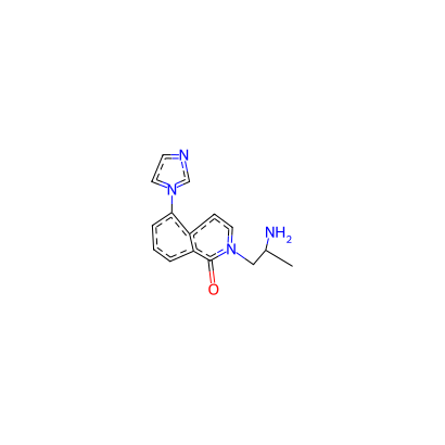 CC(N)Cn1ccc2c(-n3ccnc3)cccc2c1=O